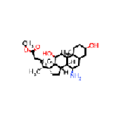 COC(=O)CC[C@@H](C)[C@H]1CC[C@H]2[C@@H]3[C@H](N)CC4C[C@H](O)CCC4(C)[C@H]3C[C@H](O)[C@]12C